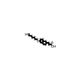 O=C(O)C=Cc1ccc2cc(OCCCCCCO)ccc2c1